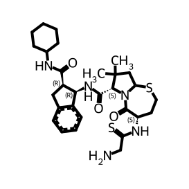 CC1(C)CC2SCC[C@H](NC(=S)CN)C(=O)N2[C@@H]1C(=O)N[C@H]1c2ccccc2C[C@H]1C(=O)NC1CCCCC1